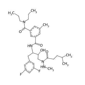 CCCN(CCC)C(=O)c1cc(C)cc(C(=O)NC(Cc2cc(F)cc(F)c2)C(O)CN(NC)C(=O)CCC(C)C)c1